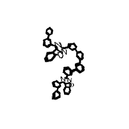 c1ccc(-c2cccc(-c3nc(-c4cccc(-c5cccc(-c6cccc(-c7cccc(-c8nc(-c9cccc(-c%10ccccc%10)c9)c9c(n8)oc8ccccc89)c7)c6)c5)c4)nc4oc5ccccc5c34)c2)cc1